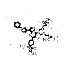 COC(=O)C1(SC)CCC(c2nc3c(-c4cnn(-c5ccccc5)c4)cnn3c(N(COCC[Si](C)(C)C)COCC[Si](C)(C)C)c2Br)CC1